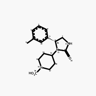 Cc1cccc([C@@H]2CNC(=O)N2C2CCN(C(=O)O)CC2)c1